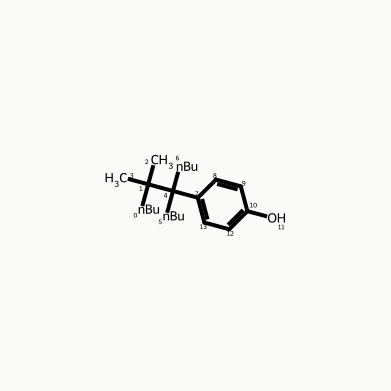 CCCCC(C)(C)C(CCCC)(CCCC)c1ccc(O)cc1